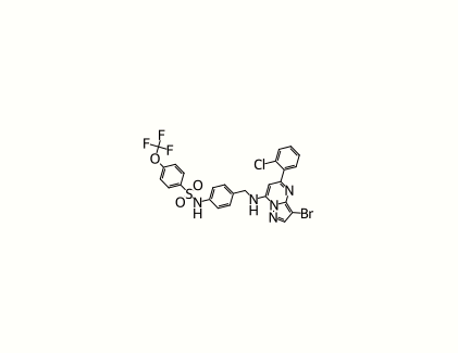 O=S(=O)(Nc1ccc(CNc2cc(-c3ccccc3Cl)nc3c(Br)cnn23)cc1)c1ccc(OC(F)(F)F)cc1